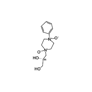 [O-][N+]1(C[C@@H](O)CO)CC[N+]([O-])(c2ccccc2)CC1